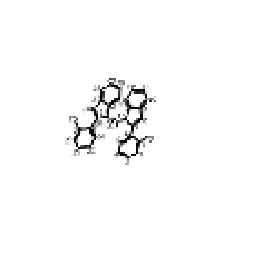 Cc1ccccc1C1=Cc2ccccc2[CH]1[Zr][CH]1C(c2ccccc2C)=Cc2ccccc21